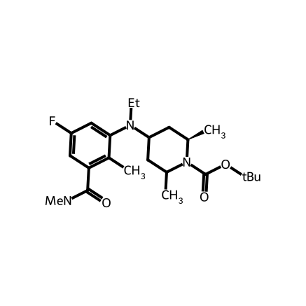 CCN(c1cc(F)cc(C(=O)NC)c1C)C1CC(C)N(C(=O)OC(C)(C)C)[C@H](C)C1